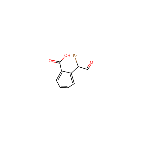 O=CC(Br)c1ccccc1C(=O)O